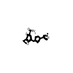 Cn1cc(-c2ccc(Cc3cc(C(N)=O)c(F)c4c3OCC4)cc2)cn1